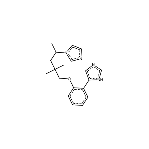 CC(CC(C)(C)COc1ccccc1-c1cnc[nH]1)n1ccnc1